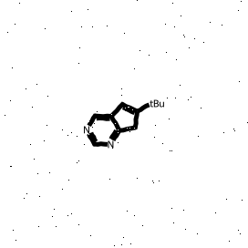 CC(C)(C)C1=Cc2cncnc2C1